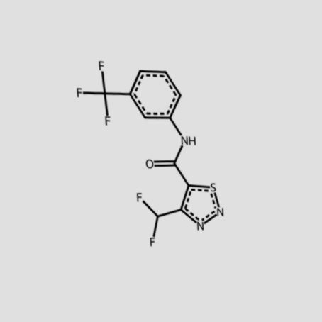 O=C(Nc1cccc(C(F)(F)F)c1)c1snnc1C(F)F